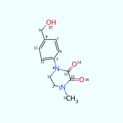 CN1CCN(c2ccc(CO)cc2)C(=O)C1=O